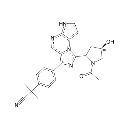 CC(=O)N1C[C@H](O)CC1c1nc(-c2ccc(C(C)(C)C#N)cc2)c2cnc3[nH]ccc3n12